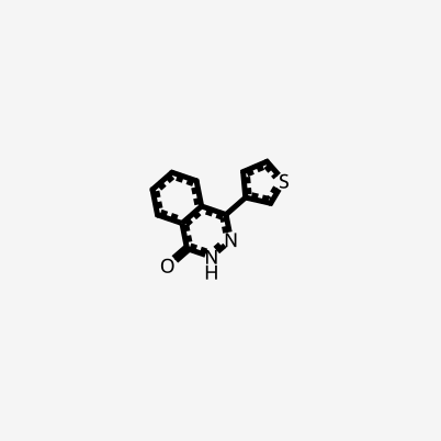 O=c1[nH]nc(-c2ccsc2)c2ccccc12